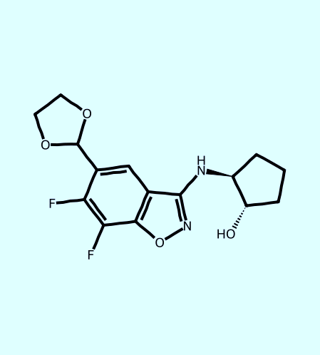 O[C@H]1CCC[C@@H]1Nc1noc2c(F)c(F)c(C3OCCO3)cc12